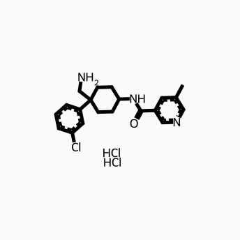 Cc1cncc(C(=O)NC2CCC(CN)(c3cccc(Cl)c3)CC2)c1.Cl.Cl